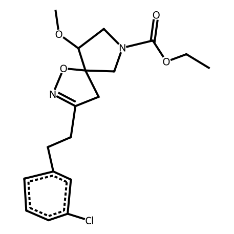 CCOC(=O)N1CC(OC)C2(CC(CCc3cccc(Cl)c3)=NO2)C1